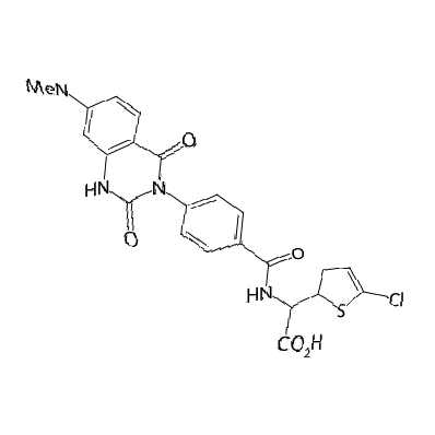 CNc1ccc2c(=O)n(-c3ccc(C(=O)NC(C(=O)O)C4CC=C(Cl)S4)cc3)c(=O)[nH]c2c1